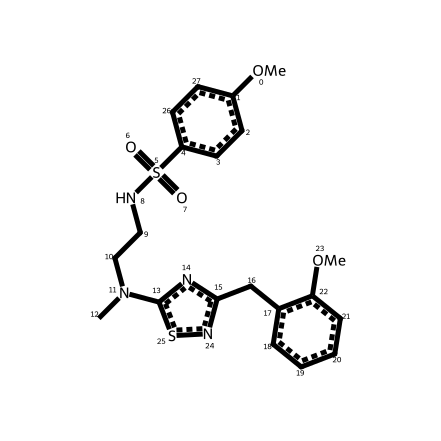 COc1ccc(S(=O)(=O)NCCN(C)c2nc(Cc3ccccc3OC)ns2)cc1